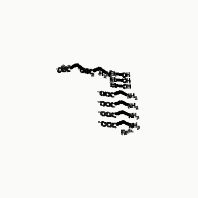 CCO.CCO.CCO.NCC(=O)[O-].NCC(=O)[O-].NCC(=O)[O-].NCC(=O)[O-].NCC(=O)[O-].NCC(=O)[O-].[Fe+3].[Fe+3]